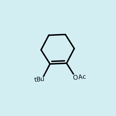 CC(=O)OC1=C(C(C)(C)C)CCCC1